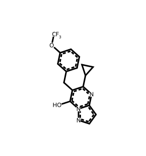 Oc1c(Cc2cccc(OC(F)(F)F)c2)c(C2CC2)nc2ccnn12